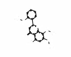 COc1ccccc1-c1cc(=O)c2c(O)cc(OC)c(OC)c2o1